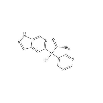 CCC(C(N)=O)(c1cccnc1)c1cc2cn[nH]c2cn1